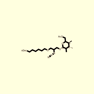 CCCCCCCCCCCCCCCCOCC(CO[C@@H]1OC(COC(C)=O)[C@@H](C)[C@H](C)C1C)N=[N+]=[N-]